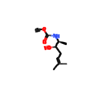 CC(C)=CCC(O)[C@H](C)NC(=O)OC(C)(C)C